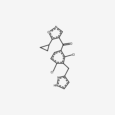 O=C(c1cnoc1C1CC1)c1ccc(Cl)c(Cc2cc[nH]n2)c1Cl